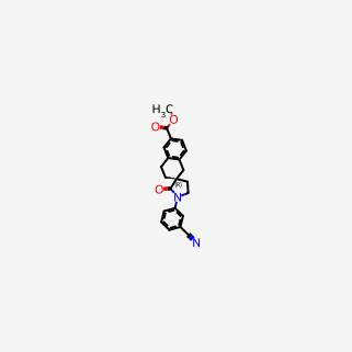 COC(=O)c1ccc2c(c1)CC[C@]1(CCN(c3cccc(C#N)c3)C1=O)C2